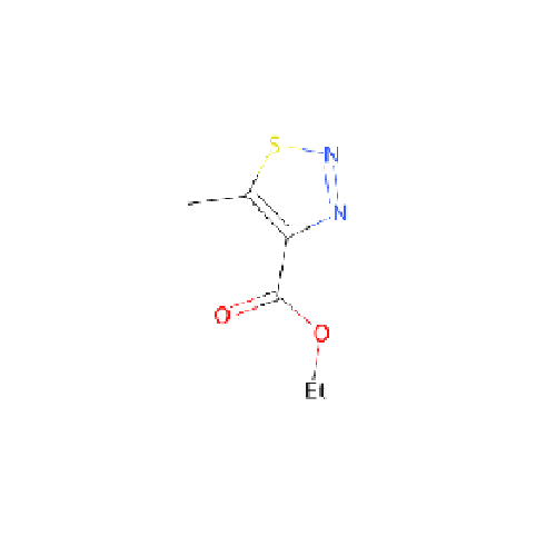 CCOC(=O)c1nnsc1C